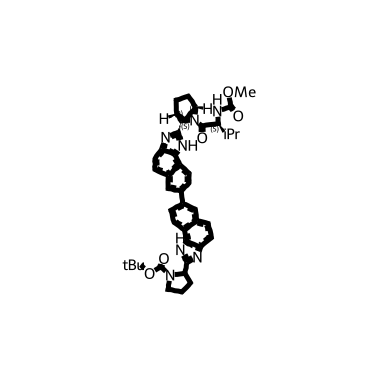 COC(=O)N[C@H](C(=O)N1[C@H]2CC[C@H](C2)[C@H]1c1nc2ccc3cc(-c4ccc5c(ccc6nc(C7CCCN7C(=O)OC(C)(C)C)[nH]c65)c4)ccc3c2[nH]1)C(C)C